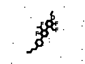 C=CCCC1=CCC(c2ccc(-c3ccc(OCC)c(F)c3CF)c(C(C)F)c2F)CC1